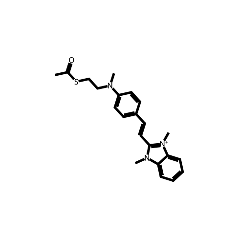 CC(=O)SCCN(C)c1ccc(/C=C/c2n(C)c3ccccc3[n+]2C)cc1